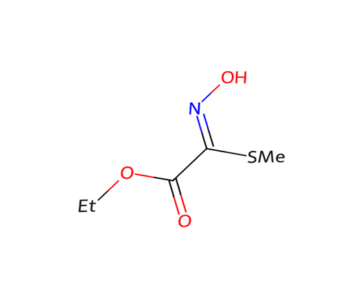 CCOC(=O)C(=NO)SC